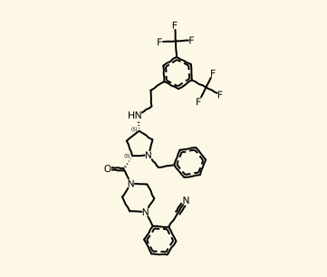 N#Cc1ccccc1N1CCN(C(=O)[C@@H]2C[C@H](NCCc3cc(C(F)(F)F)cc(C(F)(F)F)c3)CN2Cc2ccccc2)CC1